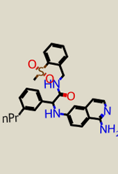 CCCc1cccc(C(Nc2ccc3c(N)nccc3c2)C(=O)NCc2ccccc2S(C)(=O)=O)c1